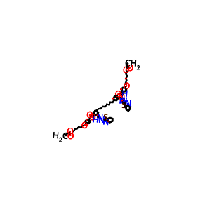 C=CC(=O)OCCCCCCOc1ccc(C(=O)Oc2ccc(CCCCCCCCc3ccc(OC(=O)c4ccc(OCCCCCCOC(=O)C=C)cc4)c(/C=N/Nc4nc5ccccc5s4)c3)cc2/C=N/Nc2nc3ccccc3s2)cc1